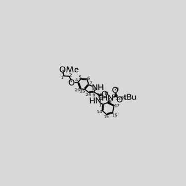 COCCOc1ccc2[nH]c(C(=O)Nc3ccccc3NC(=O)OC(C)(C)C)cc2c1